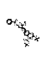 COC(=O)[C@@](N)(CCOC(=O)c1ccccc1)Cc1ccc(OC(=O)OC(C)(C)C)c(OC(=O)OC(C)(C)C)c1